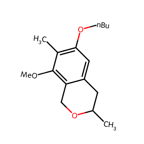 CCCCOc1cc2c(c(OC)c1C)COC(C)C2